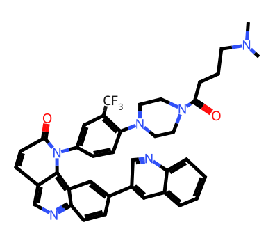 CN(C)CCCC(=O)N1CCN(c2ccc(-n3c(=O)ccc4cnc5ccc(-c6cnc7ccccc7c6)cc5c43)cc2C(F)(F)F)CC1